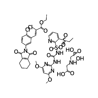 CCOC(=O)/C(Cl)=C/c1cc(N2C(=O)C3=C(CCCC3)C2=O)ccc1Cl.CCS(=O)(=O)c1cccnc1S(=O)(=O)NC(=O)Nc1nc(OC)cc(OC)n1.O=C(O)CNCP(=O)(O)O